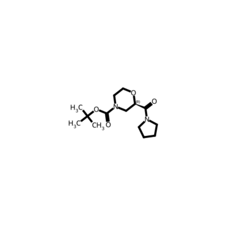 CC(C)(C)OC(=O)N1CCO[C@@H](C(=O)N2CCCC2)C1